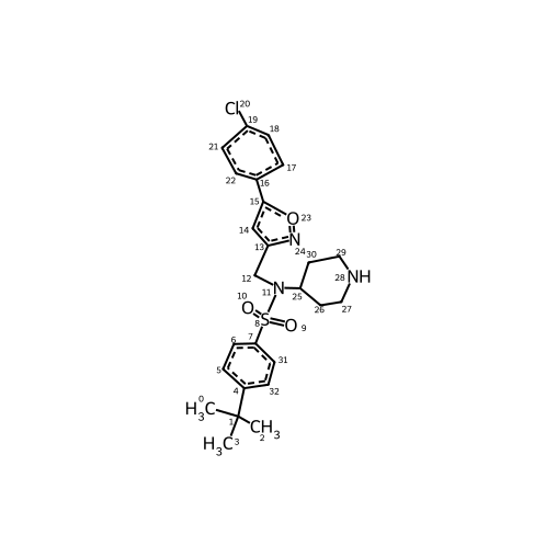 CC(C)(C)c1ccc(S(=O)(=O)N(Cc2cc(-c3ccc(Cl)cc3)on2)C2CCNCC2)cc1